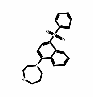 O=S(=O)(c1ccccc1)c1ccc(N2CCCNCC2)c2ccccc12